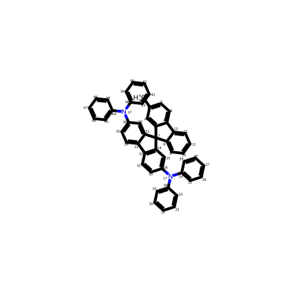 Cc1ccc2c(c1)C1(c3ccccc3-2)c2cc(N(c3ccccc3)c3ccccc3)ccc2-c2ccc(N(c3ccccc3)c3ccccc3)cc21